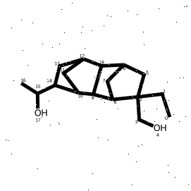 CCC1(CO)CC2CC1C1C3CC(CC3C(C)O)C21